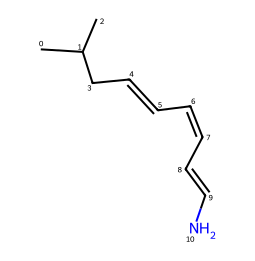 CC(C)C/C=C/C=C\C=C\N